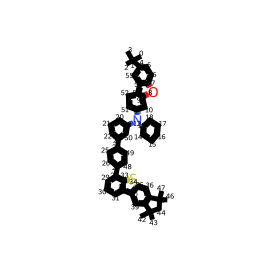 CC(C)(C)c1ccc2oc3cc(N(c4ccccc4)c4cccc(-c5ccc(-c6cccc7c6sc6cc8c(cc67)C(C)(C)CC8(C)C)cc5)c4)ccc3c2c1